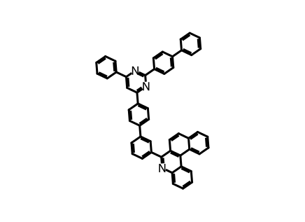 c1ccc(-c2ccc(-c3nc(-c4ccccc4)cc(-c4ccc(-c5cccc(-c6nc7ccccc7c7c6ccc6ccccc67)c5)cc4)n3)cc2)cc1